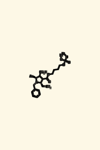 C=C[C@@H]1C(C(=O)OCCCCOP(=O)(OCC)OCC)C(C(=O)O)[C@H](C(C)=O)N1Cc1ccccc1